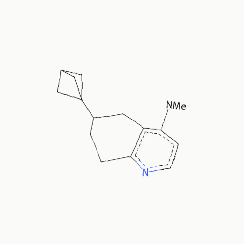 CNc1ccnc2c1CC(C13CC(C1)C3)CC2